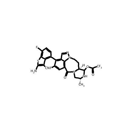 C[C@@H]1CN2C(=O)c3cc(F)c(-c4ccc(F)c5sc(N)c(C#N)c45)c4cnn(c34)CC[C@H]2C(OC(=O)C(F)(F)F)N1